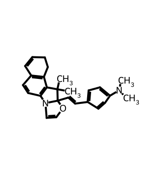 CN(C)c1ccc(C=CC23OC=CN2c2ccc4c(c2C3(C)C)CCC=C4)cc1